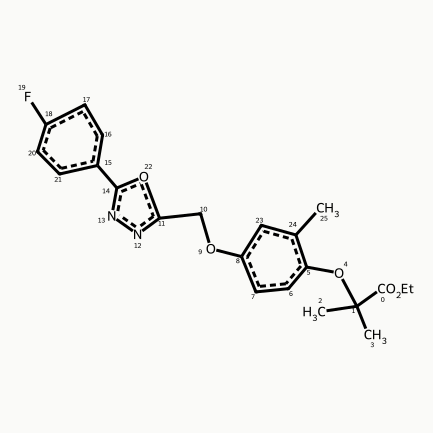 CCOC(=O)C(C)(C)Oc1ccc(OCc2nnc(-c3ccc(F)cc3)o2)cc1C